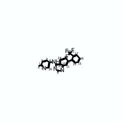 Cc1ccc(Nc2ncnc3cc(-c4ccccc4C(F)(F)F)ccc23)cn1